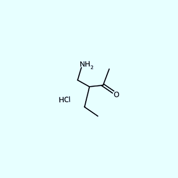 CCC(CN)C(C)=O.Cl